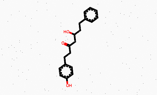 O=C(CCc1ccc(O)cc1)CC(O)CCc1ccccc1